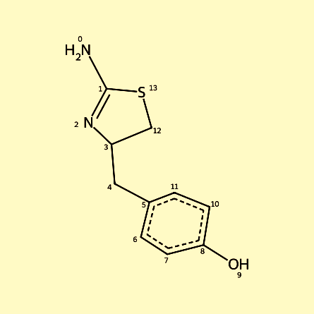 NC1=NC(Cc2ccc(O)cc2)CS1